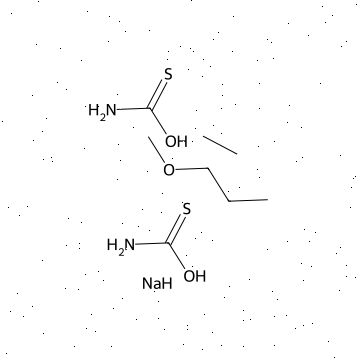 CC.CCCOC.NC(O)=S.NC(O)=S.[NaH]